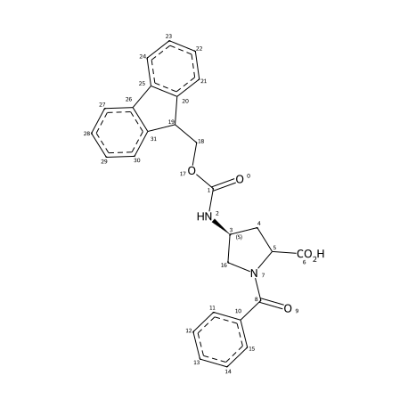 O=C(N[C@H]1CC(C(=O)O)N(C(=O)c2ccccc2)C1)OCC1c2ccccc2-c2ccccc21